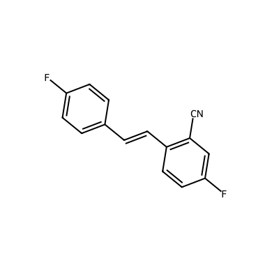 N#Cc1cc(F)ccc1C=Cc1ccc(F)cc1